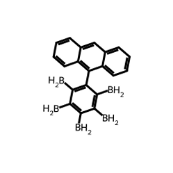 Bc1c(B)c(B)c(-c2c3ccccc3cc3ccccc23)c(B)c1B